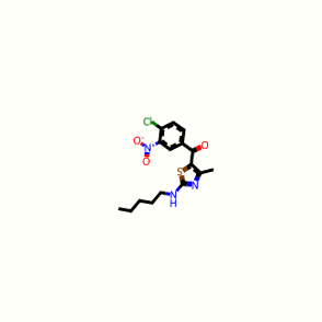 CCCCCNc1nc(C)c(C(=O)c2ccc(Cl)c([N+](=O)[O-])c2)s1